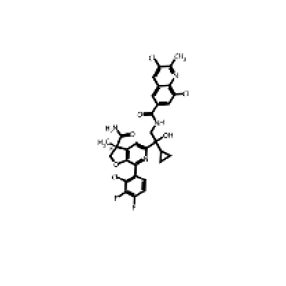 Cc1nc2c(Cl)cc(C(=O)NCC(O)(c3cc4c(c(-c5ccc(F)c(F)c5Cl)n3)OC[C@]4(C)C(N)=O)C3CC3)cc2cc1Cl